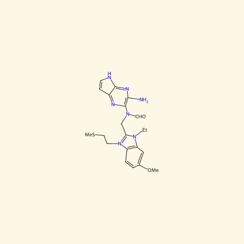 CCn1c(CN(C=O)c2nc3cc[nH]c3nc2N)[n+](CCSC)c2ccc(OC)cc21